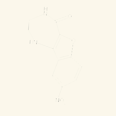 O=C1NCCNc2c1oc1ccc([N+](=O)[O-])cc21